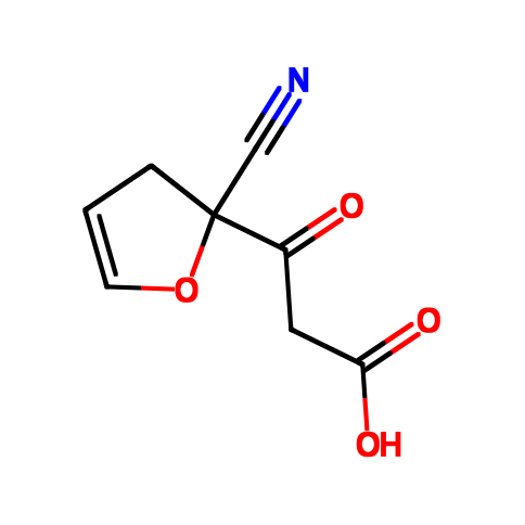 N#CC1(C(=O)CC(=O)O)CC=CO1